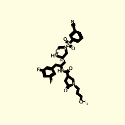 CCCCN1CC(C(=O)NC(Cc2cc(F)cc(F)c2)C[C@H]2CN(S(=O)(=O)c3cccc(C#N)c3)CCN2)CC1=O